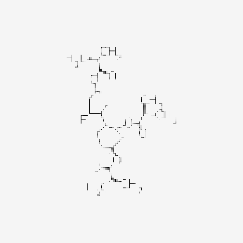 C=C(C)C(=O)OC1CCC(C2CC[C@H](OC(=O)C(=C)C)CC2OC(=O)C(=C)C)C(F)C1